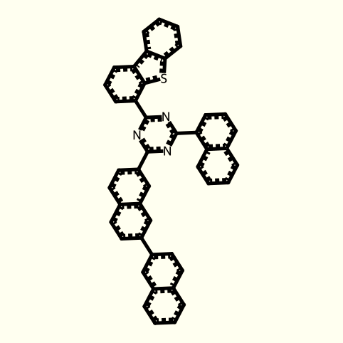 c1ccc2cc(-c3ccc4ccc(-c5nc(-c6cccc7ccccc67)nc(-c6cccc7c6sc6ccccc67)n5)cc4c3)ccc2c1